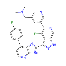 CN(C)Cc1cncc(-c2ncc3[nH]nc(-c4nc5c(-c6ccc(F)cc6)ccnc5[nH]4)c3c2F)c1